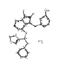 COc1cccc(Cn2c(C)c(C)c3nccc(OC(Cc4ccccc4)C4=COCO4)c32)c1.Cl